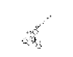 CCCCCCCCOc1ccc(-c2nc(-c3ccccc3C)nc(-c3ccccc3C)n2)c(O)c1